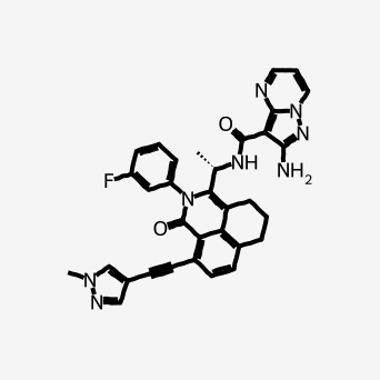 C[C@H](NC(=O)c1c(N)nn2cccnc12)c1c2c3c(ccc(C#Cc4cnn(C)c4)c3c(=O)n1-c1cccc(F)c1)CCC2